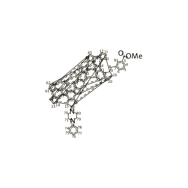 COC(=O)c1cccc(CC23c4c5c6c7c8c9c%10c%11c(c2c2c%12c3c3c%13c4c6c4c6c%13c%13c3c3c%12c%12c%14c2c%11c2c%11c%10c%10c8c8c7c4c4c6c6c%13c7c3c%12c3c(c%142)c2c%11c%10c%10c8c4c4c%10c2c3c7c64)C59N2CCN(c3ccccc3)CC2)c1